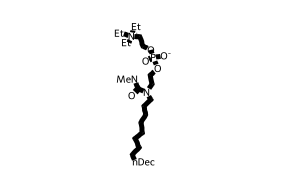 CCCCCCCCCCCCCCCCCCN(CCOP(=O)([O-])OCC[N+](CC)(CC)CC)C(=O)NC